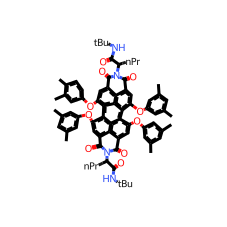 CCCC(C(=O)NC(C)(C)C)N1C(=O)c2cc(Oc3cc(C)cc(C)c3)c3c4c(Oc5cc(C)cc(C)c5)cc5c6c(cc(Oc7ccc(C)c(C)c7)c(c7c(Oc8cc(C)cc(C)c8)cc(c2c37)C1=O)c64)C(=O)N(C(CCC)C(=O)NC(C)(C)C)C5=O